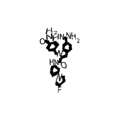 N=C(N)c1ccc2cc(C(=O)Nc3cccc(N4CC[C@@H](F)C4)c3)n(Cc3ccc(C(N)=O)cc3)c2c1